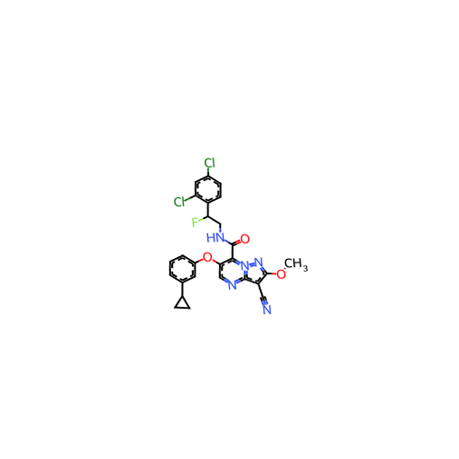 COc1nn2c(C(=O)NCC(F)c3ccc(Cl)cc3Cl)c(Oc3cccc(C4CC4)c3)cnc2c1C#N